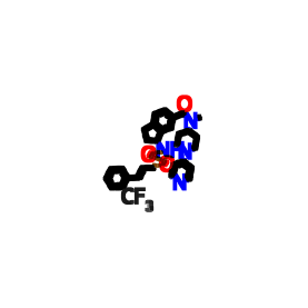 CN(C(=O)c1ccc2c(c1)C(NS(=O)(=O)CC=Cc1ccccc1C(F)(F)F)CC2)C1CCN(c2ccncc2)CC1